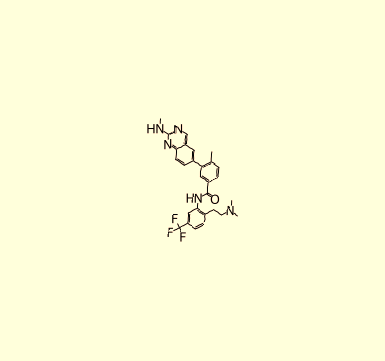 CNc1ncc2cc(-c3cc(C(=O)Nc4cc(C(F)(F)F)ccc4CCN(C)C)ccc3C)ccc2n1